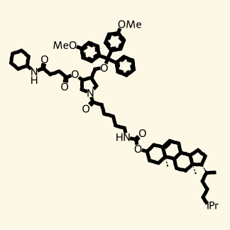 COc1ccc(C(OCC2CN(C(=O)CCCCCNC(=O)OC3CC[C@@]4(C)C(=CCC5C4CC[C@@]4(C)C5CC[C@@H]4C(C)CCCC(C)C)C3)CC2OC(=O)CCC(=O)NC2CCCCC2)(c2ccccc2)c2ccc(OC)cc2)cc1